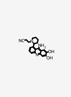 N#CCCN1CCCCC1c1cccc2nc3cc(O)c(O)cc3c(N)c12